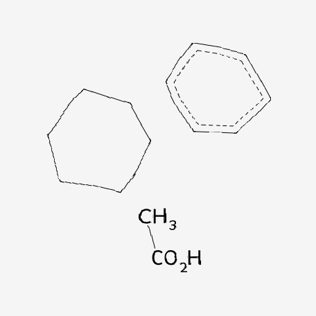 C1CCCCC1.CC(=O)O.c1ccccc1